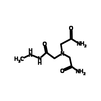 CNNC(=O)CN(CC(N)=O)CC(N)=O